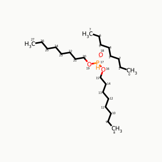 CCCCCCCC.CCCCCCCCO[PH](=O)OCCCCCCCC